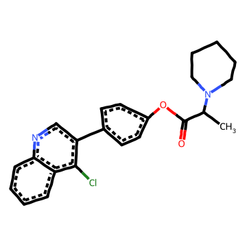 CC(C(=O)Oc1ccc(-c2cnc3ccccc3c2Cl)cc1)N1CCCCC1